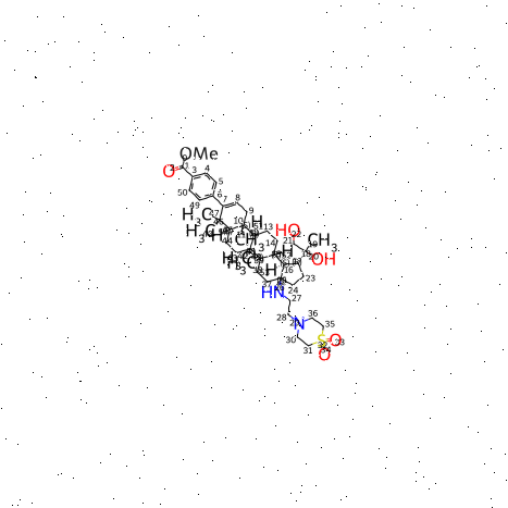 COC(=O)c1ccc(C2=CC[C@]3(C)[C@H]4CC[C@@H]5[C@H]6[C@H](C(C)(O)CO)CC[C@]6(NCCN6CCS(=O)(=O)CC6)CC[C@@]5(C)[C@]4(C)CC[C@H]3C2(C)C)cc1